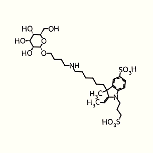 C/C=C1/N(CCCS(=O)(=O)O)c2ccc(S(=O)(=O)O)cc2C1(C)CCCCCCNCCCCO[C@H]1O[C@H](CO)[C@@H](O)[C@H](O)[C@@H]1O